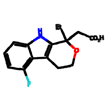 CCC1(CC(=O)O)OCCc2c1[nH]c1cccc(F)c21